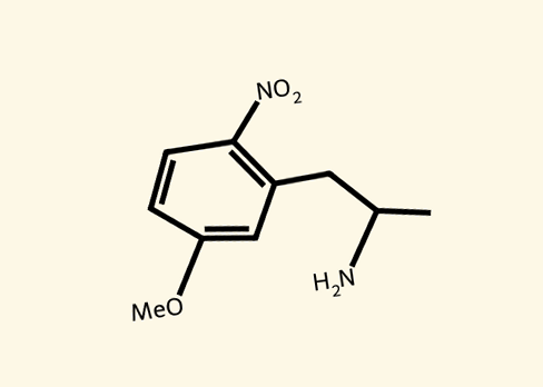 COc1ccc([N+](=O)[O-])c(CC(C)N)c1